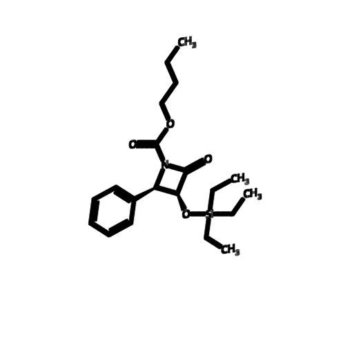 CCCCOC(=O)N1C(=O)[C@@H](O[Si](CC)(CC)CC)[C@H]1c1ccccc1